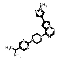 CC(N)c1cnc(N2CCN(c3ncnn4cc(-c5cnn(C)c5)cc34)CC2)nc1